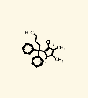 CCCCC(C1=C(C)C(C)=C(C)C1C)(c1ccccc1)c1ccccc1